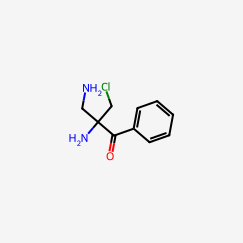 NCC(N)(CCl)C(=O)c1ccccc1